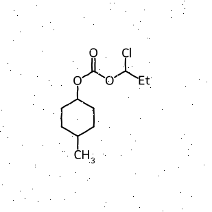 CCC(Cl)OC(=O)OC1CCC(C)CC1